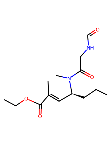 CCC[C@@H](/C=C(\C)C(=O)OCC)N(C)C(=O)CNC=O